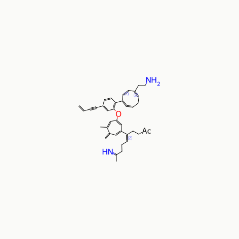 C=CC#Cc1ccc(C2=C=CC/C=C(CCN)\C=C/2)c(OC2=CC(/C(=C\CCC(C)=N)CCC(C)=O)=CC(=C)C(C)=C2)c1